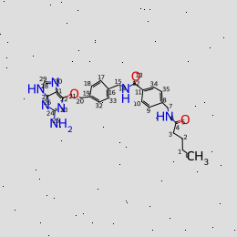 CCCCC(=O)NCc1ccc(C(=O)NCc2ccc(COc3nc(N)nc4[nH]cnc34)cc2)cc1